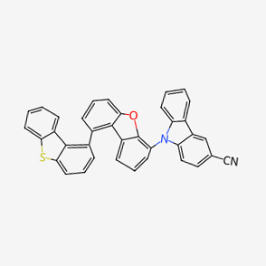 N#Cc1ccc2c(c1)c1ccccc1n2-c1cccc2c1oc1cccc(-c3cccc4sc5ccccc5c34)c12